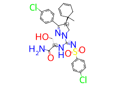 CC1([C@H]2CN(/C(=N/S(=O)(=O)c3ccc(Cl)cc3)N[C@@H](CO)C(N)=O)N=C2c2ccc(Cl)cc2)C=CC=CC1